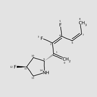 C=C(/C(F)=C(F)\C=C/C)[C@H]1C[C@H](F)CN1